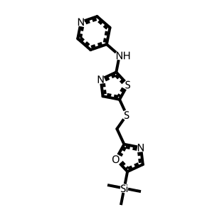 C[Si](C)(C)c1cnc(CSc2cnc(Nc3ccncc3)s2)o1